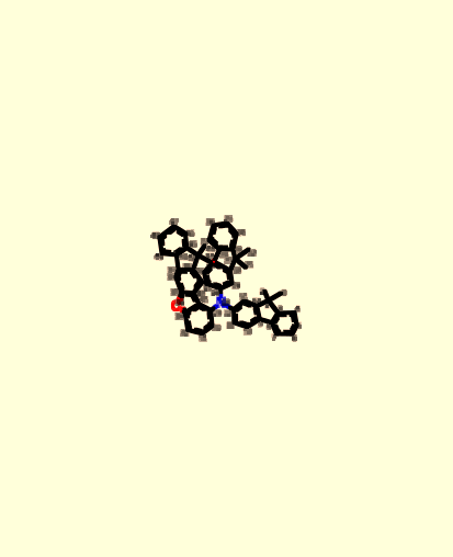 CC1(C)c2ccccc2-c2ccc(N(c3ccc4c(c3)C(C)(C)c3ccccc3-4)c3cccc4oc5cc6c(cc5c34)C(C)(C)c3ccccc3-6)cc21